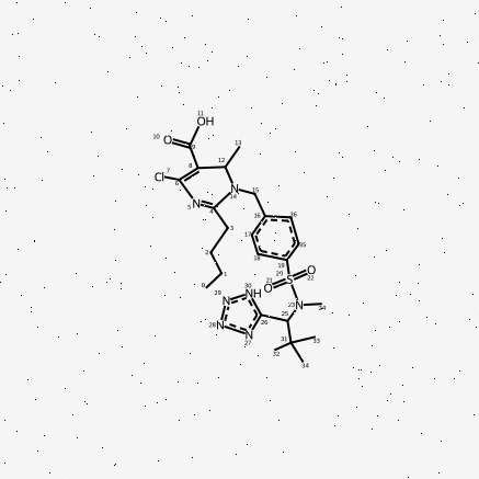 CCCCC1=NC(Cl)=C(C(=O)O)C(C)N1Cc1ccc(S(=O)(=O)N(C)C(c2nnn[nH]2)C(C)(C)C)cc1